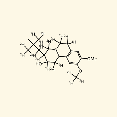 [2H]C([2H])([2H])Oc1cc2c(cc1OC)C([2H])([2H])C([2H])([2H])N1C2C([2H])([2H])C([2H])(O)C([2H])(C([2H])([2H])C(C)(C([2H])([2H])[2H])C([2H])([2H])[2H])C1([2H])[2H]